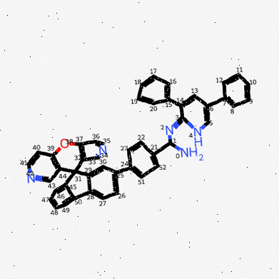 NC(/N=c1\[nH]cc(-c2ccccc2)cc1-c1ccccc1)c1ccc(-c2ccc3c(c2)C2(c4cnccc4Oc4ccncc42)c2ccccc2-3)cc1